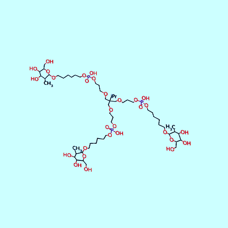 CC1C(OCCCCCCOP(=O)(O)OCCCOCC(COCCCOP(=O)(O)OCCCCCCOC2OC(CO)C(O)C(O)C2C)(COCCCOP(=O)(O)OCCCCCCOC2OC(CO)C(O)C(O)C2C)C(C)C)OC(CO)C(O)C1O